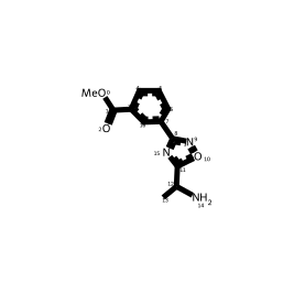 COC(=O)c1cccc(-c2noc(C(C)N)n2)c1